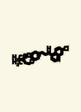 CC1(C)CCOC2(CCN(CCNc3ccnc4cc(Cl)ccc34)CC2)OO1